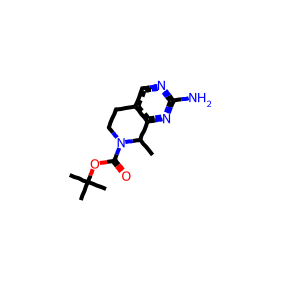 CC1c2nc(N)ncc2CCN1C(=O)OC(C)(C)C